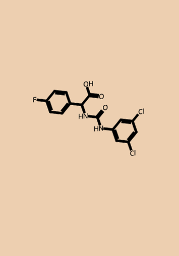 O=C(Nc1cc(Cl)cc(Cl)c1)NC(C(=O)O)c1ccc(F)cc1